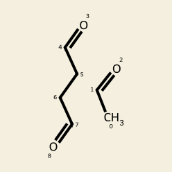 C[C]=O.O=[C]CC[C]=O